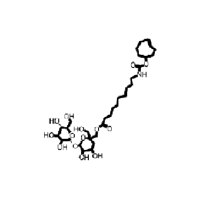 O=C(CCCCCCCCCNC(=O)OC1CC/C=C/CCC1)OCC1(CO)CC(O)C(O)[C@@H](O[C@H]2OC(CO)[C@@H](O)C(O)C2O)O1